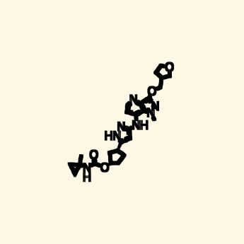 Cn1nc(OCC2CCOC2)c2nccc(Nc3cc([C@H]4CC[C@@H](OC(=O)NC5(C)CC5)C4)[nH]n3)c21